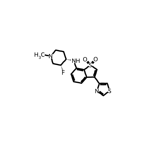 CN1CC[C@H](Nc2cccc3c2S(=O)(=O)C=C3c2cscn2)[C@H](F)C1